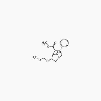 COCO[C@@H]1CC2C[C@@H](c3ccccc3)[C@H](C(=O)OC)C1N2C